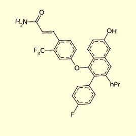 CCCc1cc2cc(O)ccc2c(Oc2ccc(/C=C/C(N)=O)c(C(F)(F)F)c2)c1-c1ccc(F)cc1